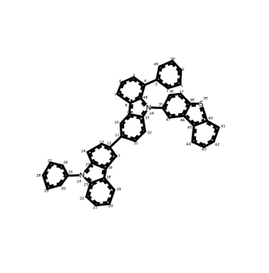 c1ccc(-c2cccc3c4cc(-c5ccc6c(c5)c5ccccc5n6-c5ccccc5)ccc4n(-c4ccc5sc6ccccc6c5c4)c23)cc1